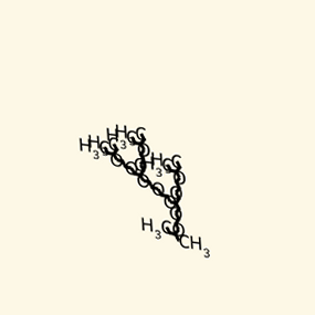 CCC(CC)OCCOCC(COCCOC(CC)CC)OCCOCCOC(COCCOC(CC)CC)COCCOC(CC)CC